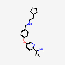 C=C(N)c1ccc(Oc2ccc(CNCCC3CCCC3)cc2)cn1